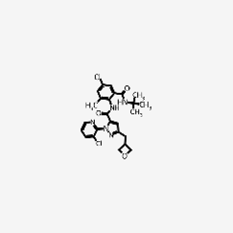 Cc1cc(Cl)cc(C(=O)NC(C)(C)C)c1NC(=O)c1cc(CC2COC2)nn1-c1ncccc1Cl